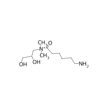 C[N+](C)(CC(O)CO)C(=O)CCCCCN